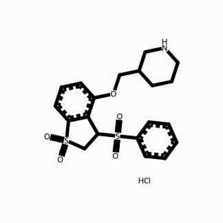 Cl.O=S1(=O)CC(S(=O)(=O)c2ccccc2)c2c(OCC3CCCNC3)cccc21